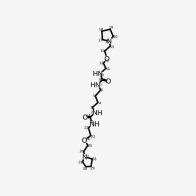 O=C(NCCCCNC(=O)NCCOCCN1CCCC1)NCCOCCN1CCCC1